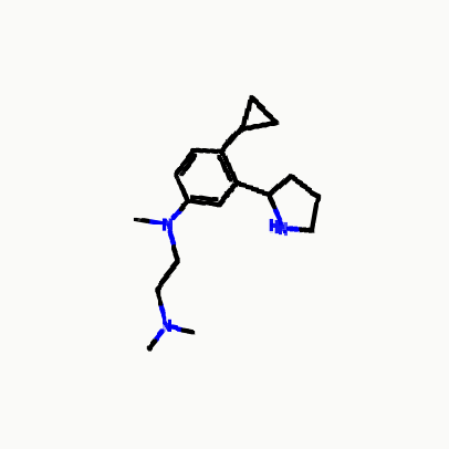 CN(C)CCN(C)c1ccc(C2CC2)c(C2CCCN2)c1